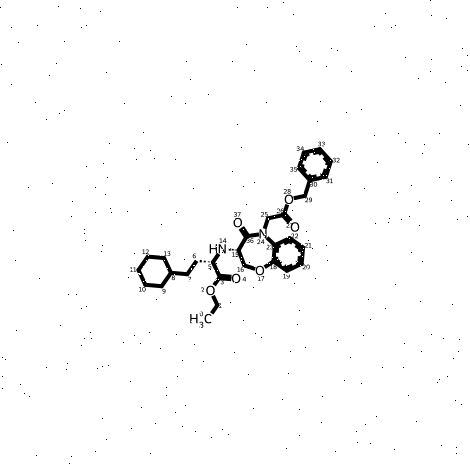 CCOC(=O)[C@H](CCC1CCCCC1)N[C@H]1COc2ccccc2N(CC(=O)OCc2ccccc2)C1=O